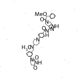 CO[C@@H](C(=O)N1Cc2[nH]nc(NC(=O)c3ccc(N4CCC(N(C)Cc5cccc(N6CCC(=O)NC6=O)c5)CC4)cc3)c2C1)c1ccccc1